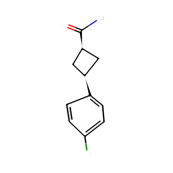 NC(=O)[C@H]1C[C@@H](c2ccc(Cl)cc2)C1